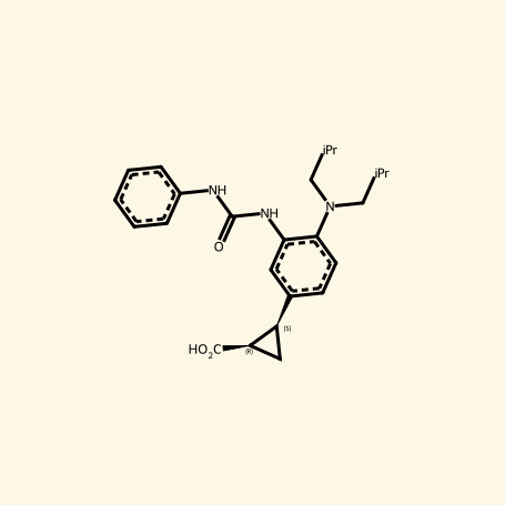 CC(C)CN(CC(C)C)c1ccc([C@H]2C[C@H]2C(=O)O)cc1NC(=O)Nc1ccccc1